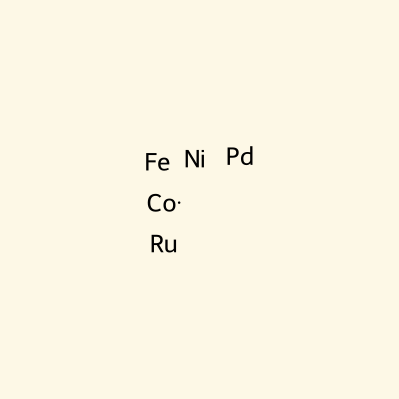 [Co].[Fe].[Ni].[Pd].[Ru]